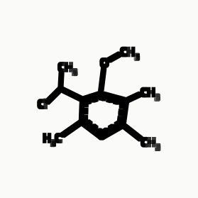 COc1c(C)c(C)cc(C)c1C(C)Cl